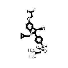 CC(C)CS(=O)(=O)Nc1ccc(-c2c(C#N)c3cc(OCC(F)F)ccc3n2CC2CC2)cc1